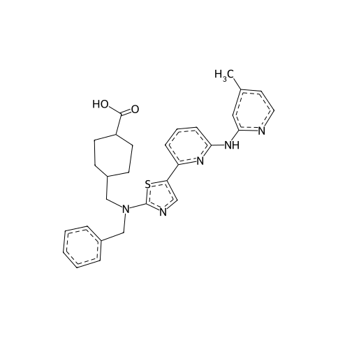 Cc1ccnc(Nc2cccc(-c3cnc(N(Cc4ccccc4)CC4CCC(C(=O)O)CC4)s3)n2)c1